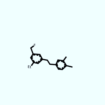 CCc1cc(CF)cc(CCc2ccc(C)c(C)c2)c1